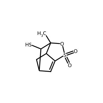 CC12OS(=O)(=O)C3=CC(CC31)C2S